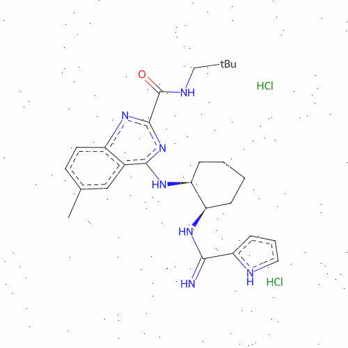 Cc1ccc2nc(C(=O)NCC(C)(C)C)nc(N[C@H]3CCCC[C@H]3NC(=N)c3ccc[nH]3)c2c1.Cl.Cl